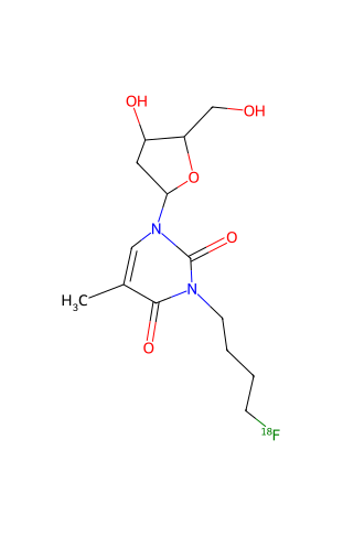 Cc1cn(C2CC(O)C(CO)O2)c(=O)n(CCCC[18F])c1=O